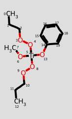 CCCO[O][Ti]([O]C)([O]OCCC)[O]c1ccccc1